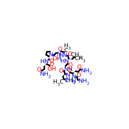 CC(C)C[C@H](NC(=O)CNC(=O)[C@H](CC(C)C)NC(=O)[C@H](CCC(N)=O)NC(=O)CN)C(=O)N[C@@H](C)C(=O)NCC(=O)N1CCC[C@H]1C(=O)N[C@@H](CCC(N)=O)C(=O)O